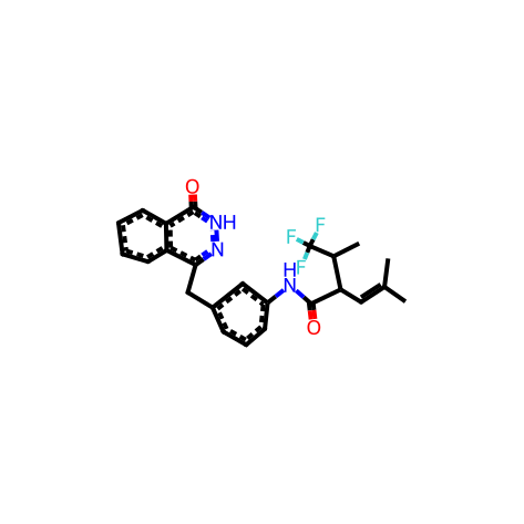 CC(C)=CC(C(=O)Nc1cccc(Cc2n[nH]c(=O)c3ccccc23)c1)C(C)C(F)(F)F